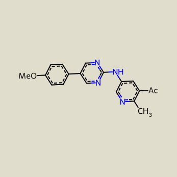 COc1ccc(-c2cnc(Nc3cnc(C)c(C(C)=O)c3)nc2)cc1